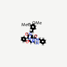 CCN1CC(=O)N2[C@@H](c3ccccc3)C(=O)N(CCc3ccc(OC)c(OC)c3)C[C@@H]2N1C(=O)NCc1ccccc1